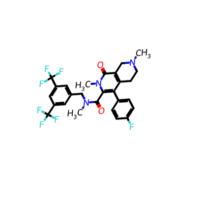 CN1CCc2c(-c3ccc(F)cc3)c(C(=O)N(C)Cc3cc(C(F)(F)F)cc(C(F)(F)F)c3)n(C)c(=O)c2C1